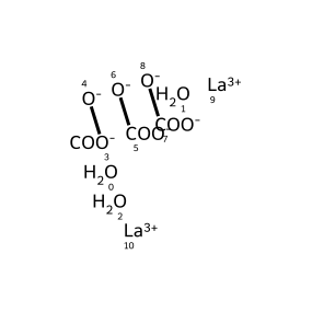 O.O.O.O=C([O-])[O-].O=C([O-])[O-].O=C([O-])[O-].[La+3].[La+3]